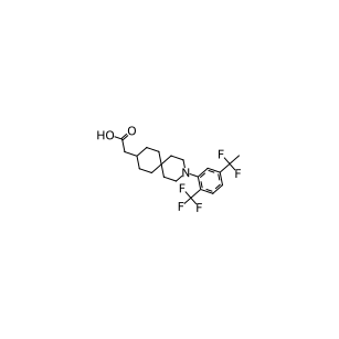 CC(F)(F)c1ccc(C(F)(F)F)c(N2CCC3(CCC(CC(=O)O)CC3)CC2)c1